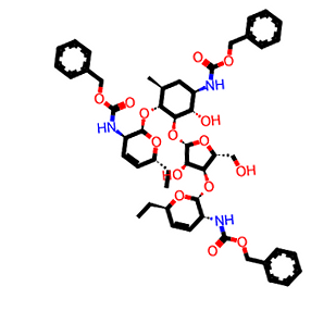 CC[C@@H]1C=C[C@@H](NC(=O)OCc2ccccc2)[C@@H](O[C@H]2[C@H](O[C@@H]3O[C@H](CO)[C@@H](O[C@H]4O[C@H](CC)C=C[C@H]4NC(=O)OCc4ccccc4)[C@H]3O)[C@@H](O)[C@H](NC(=O)OCc3ccccc3)C[C@@H]2C)O1